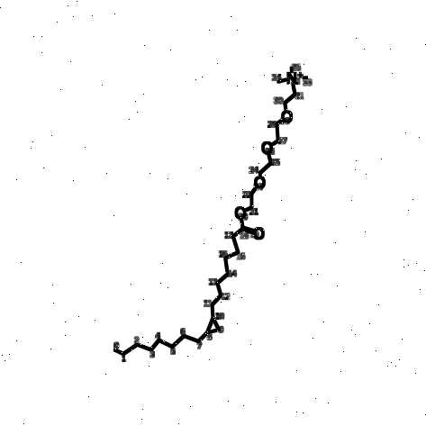 CCCCCCCCC1CC1CCCCCCCC(=O)OCCOCCOCCOCC[N+](C)(C)C